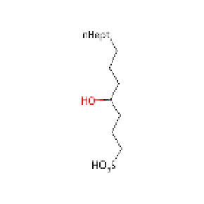 CCCCCCCCCCC(O)CCCS(=O)(=O)O